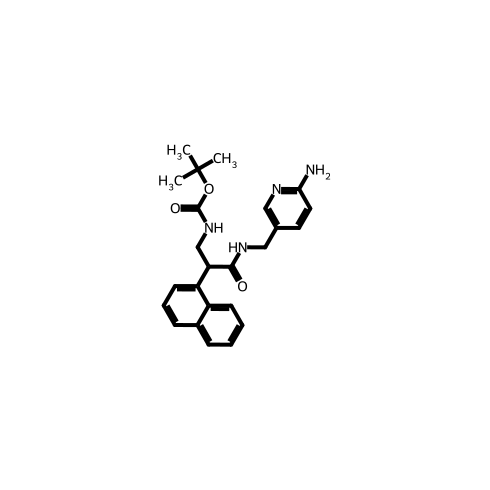 CC(C)(C)OC(=O)NCC(C(=O)NCc1ccc(N)nc1)c1cccc2ccccc12